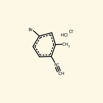 C#[N+]c1ccc(Br)cc1C.Cl.[Cl-]